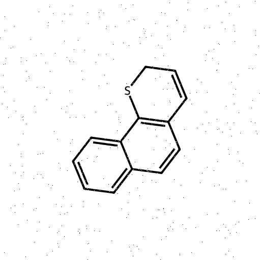 C1=Cc2ccc3ccccc3c2SC1